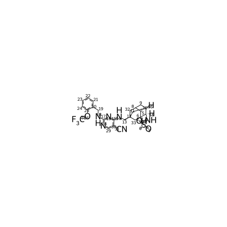 CS(=O)(=O)N[C@H]1[C@@H]2CC3C[C@H]1C[C@@](CNc1nc(NCc4ccccc4OC(F)(F)F)ncc1C#N)(C3)C2